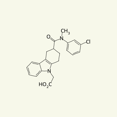 CN(C(=O)C1CCc2c(c3ccccc3n2CC(=O)O)C1)c1cccc(Cl)c1